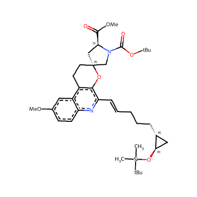 COC(=O)[C@@H]1C[C@]2(CCc3c(c(C=CCCC[C@@H]4C[C@H]4O[Si](C)(C)C(C)(C)C)nc4ccc(OC)cc34)O2)CN1C(=O)OC(C)(C)C